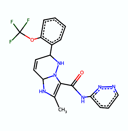 CC1=C(C(=O)Nc2cccnn2)N2NC(c3ccccc3OC(F)(F)F)C=CC2N1